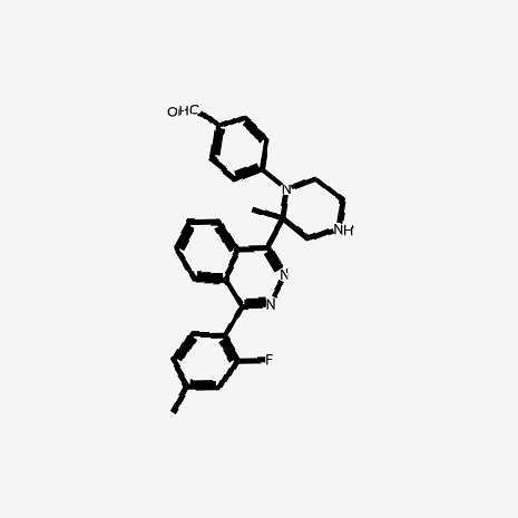 Cc1ccc(-c2nnc(C3(C)CNCCN3c3ccc(C=O)cc3)c3ccccc23)c(F)c1